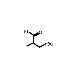 CCCCCC(C)C(=O)CC